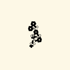 CC(C)(C)OC(=O)CN1Cc2ccccc2N(C(=O)c2ccc(NC(=O)c3ccccc3-c3ccccc3)cc2Cl)CC1CO